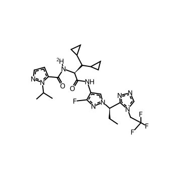 [2H]N(C(=O)c1ccnn1C(C)C)[C@H](C(=O)Nc1cn([C@H](CC)c2nncn2CC(F)(F)F)nc1F)C(C1CC1)C1CC1